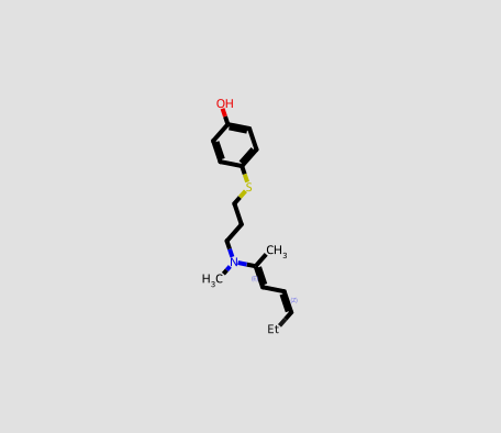 CC/C=C\C=C(/C)N(C)CCCSc1ccc(O)cc1